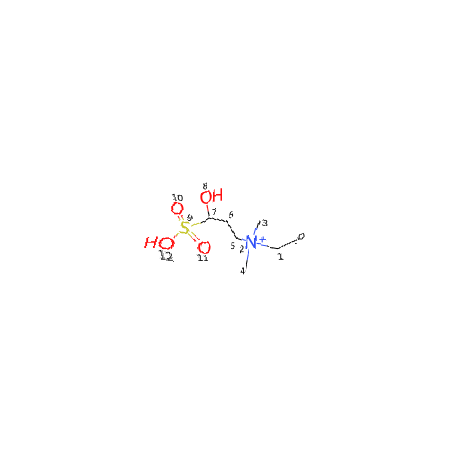 [CH2]C[N+](C)(C)CCC(O)S(=O)(=O)O